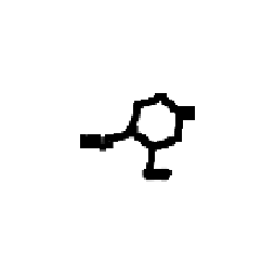 CCOC(=O)N1CCNCC1[C]=O